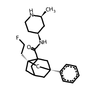 C[C@H]1C[C@@H](NC(=O)C23CC4C[C@](c5ccccc5)(C2)C[C@@]3(CCF)C4)CCN1